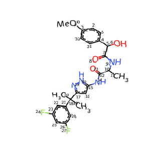 COc1ccc(C(O)C(=O)NC(C)C(=O)Nc2cc(C(C)(C)c3cc(F)cc(F)c3)n[nH]2)cc1